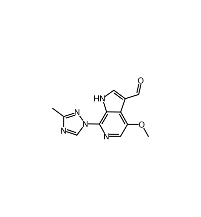 COc1cnc(-n2cnc(C)n2)c2[nH]cc(C=O)c12